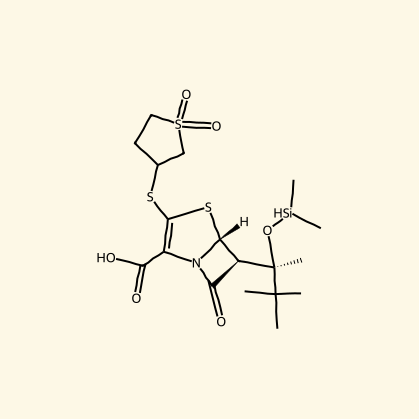 C[SiH](C)O[C@](C)([C@H]1C(=O)N2C(C(=O)O)=C(SC3CCS(=O)(=O)C3)S[C@H]12)C(C)(C)C